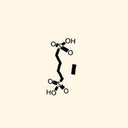 C=C.O=S(=O)(O)CCCCS(=O)(=O)O